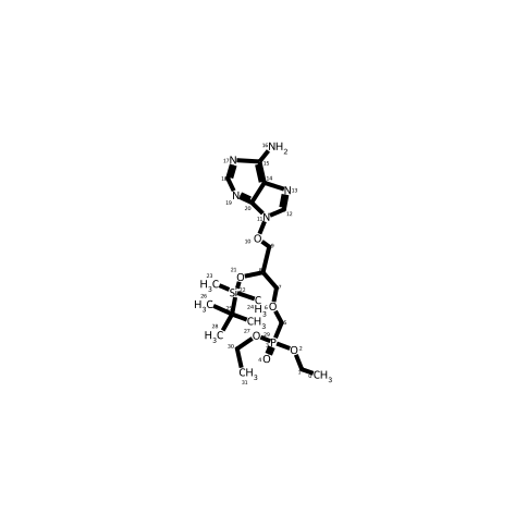 CCOP(=O)(COCC(COn1cnc2c(N)ncnc21)O[Si](C)(C)C(C)(C)C)OCC